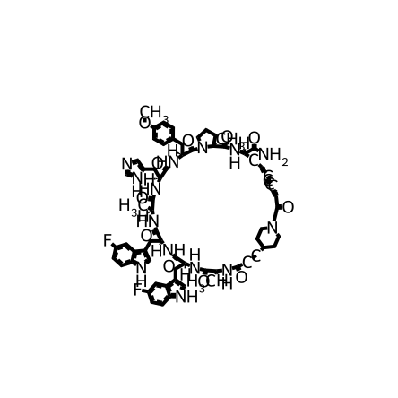 COc1ccc(C[C@@H]2NC(=O)[C@H](Cc3cnc[nH]3)NC(=O)[C@H](C)NC(=O)[C@H](Cc3c[nH]c4ccc(F)cc34)NC(=O)[C@H](Cc3c[nH]c4ccc(F)cc34)NC(=O)[C@@H](C)NC(=O)CCC3CCN(CC3)C(=O)c3ccc(cc3)C[C@@H](C(N)=O)NC(=O)[C@]3(C)CCCN3C2=O)cc1